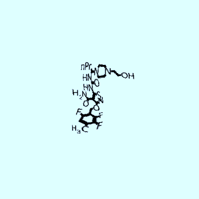 CCCC(NC(=O)Nc1snc(OCc2c(F)cc(C)c(F)c2F)c1C(N)=O)N1CCN(CCO)CC1